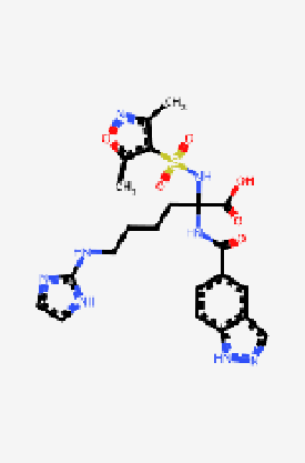 Cc1noc(C)c1S(=O)(=O)NC(CCCCNc1ncc[nH]1)(NC(=O)c1ccc2[nH]ncc2c1)C(=O)O